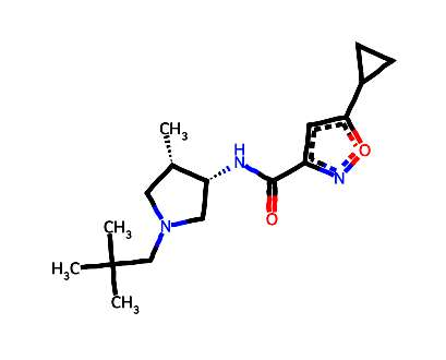 C[C@H]1CN(CC(C)(C)C)C[C@H]1NC(=O)c1cc(C2CC2)on1